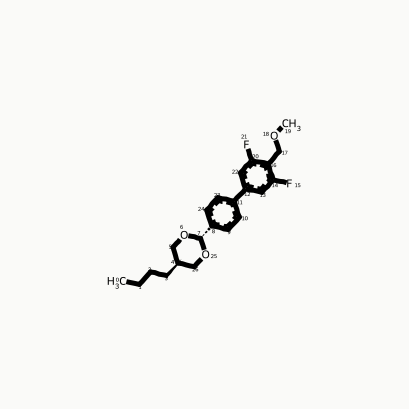 CCCC[C@H]1CO[C@H](c2ccc(-c3cc(F)c(COC)c(F)c3)cc2)OC1